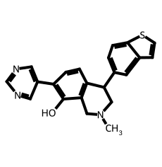 CN1Cc2c(ccc(-c3cncnc3)c2O)C(c2ccc3sccc3c2)C1